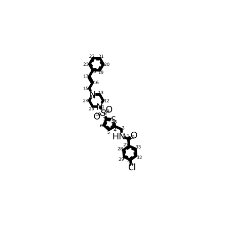 O=C(NCc1ccc(S(=O)(=O)N2CCN(C/C=C/c3ccccc3)CC2)s1)c1ccc(Cl)cc1